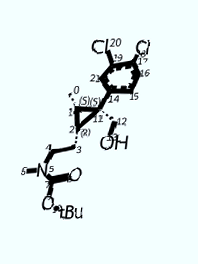 C[C@H]1[C@@H](CCN(C)C(=O)OC(C)(C)C)[C@]1(CO)c1ccc(Cl)c(Cl)c1